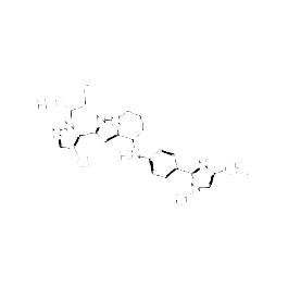 CCn1cc(C(F)(F)F)nc1-c1ccc(NC2CCCn3nc(-c4c(Cl)cnn4[C@@H](C)CF)cc32)cc1